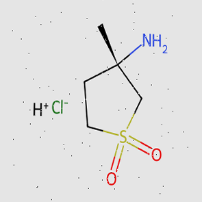 C[C@]1(N)CCS(=O)(=O)C1.[Cl-].[H+]